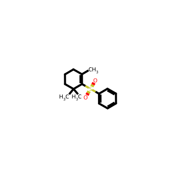 CC1=C(S(=O)(=O)c2ccccc2)C(C)(C)CCC1